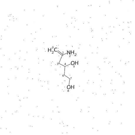 C=C(N)CC(O)CCO